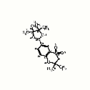 CC1(C)CS(=O)(=O)c2cc(B3OC(C)(C)C(C)(C)O3)ccc2O1